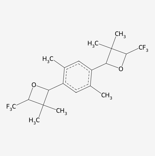 Cc1cc(C2OC(C(F)(F)F)C2(C)C)c(C)cc1C1OC(C(F)(F)F)C1(C)C